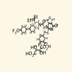 CCN(CC)CCN(Cc1ccc(-c2ccc(C(F)(F)F)cc2)cc1)C(=O)Cn1c(CCc2ccc(F)c(Cl)c2)nc(=O)c2c1CCC2.O=C(O)C(O)C(O)C(=O)O